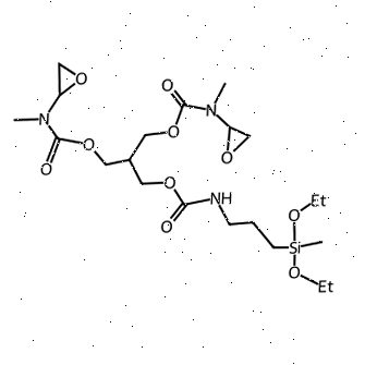 CCO[Si](C)(CCCNC(=O)OCC(COC(=O)N(C)C1CO1)COC(=O)N(C)C1CO1)OCC